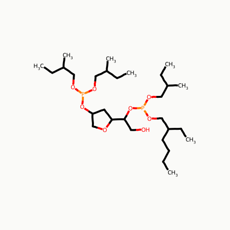 CCCCC(CC)COP(OCC(C)CC)OC(CO)C1CC(OP(OCC(C)CC)OCC(C)CC)CO1